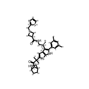 Cc1cc(C)cc(-c2[nH]c3sc(C(C)(C)C(=O)C4C5CCC4NC5)cc3c2[C@H](C)CNC(=O)C2CN(Cc3nccs3)C2)c1